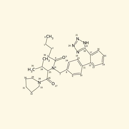 CCCCC(=O)N(Cc1ccc(-c2ccccc2-c2nnn[nH]2)cc1)C(C(=O)N1CCCCC1)C(C)C